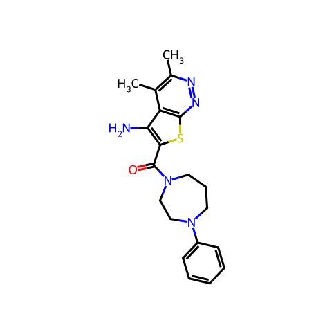 Cc1nnc2sc(C(=O)N3CCCN(c4ccccc4)CC3)c(N)c2c1C